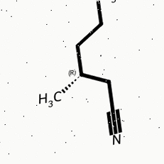 CCC[C@@H](C)CC#N